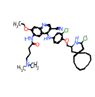 CCOc1cc2ncc(C#N)c(Nc3ccc(OCC4CC5(CCCCCCCCC5)CC(Cl)N4)c(Cl)c3)c2cc1NC(=O)CCCN(C)C